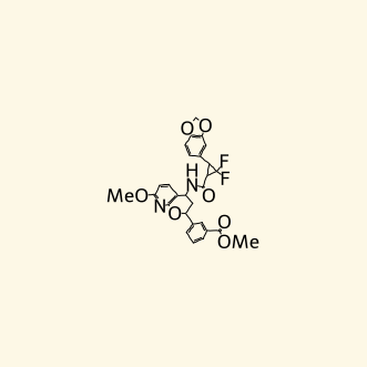 COC(=O)c1cccc(C2CC(NC(=O)C3C(c4ccc5c(c4)OCO5)C3(F)F)c3ccc(OC)nc3O2)c1